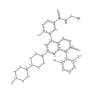 Cc1ccc(C(=O)NCC(C)C)cc1-c1nc(N2CCC(N3CCC(C)CC3)CC2)nc2c1ccc(=O)n2-c1c(F)cccc1F